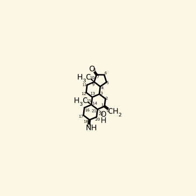 C=C1CC2C3CCC(=O)[C@@]3(C)CCC2[C@@]2(C)CCC(=N)C[C@]12O